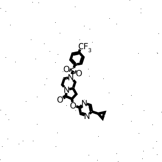 O=C1C(Oc2cnc(C3CC3)cn2)CC2CN(S(=O)(=O)c3ccc(C(F)(F)F)cc3)CCN12